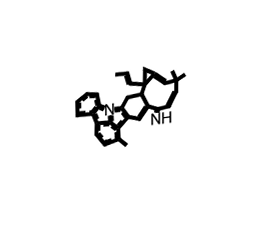 CC=CC12C/C1=C\C(C)(C)/C=C\C(=N)C1=Cc3c(n4c5ccccc5c5ccc(C)c3c54)CC12